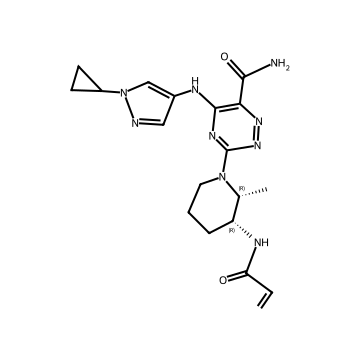 C=CC(=O)N[C@@H]1CCCN(c2nnc(C(N)=O)c(Nc3cnn(C4CC4)c3)n2)[C@@H]1C